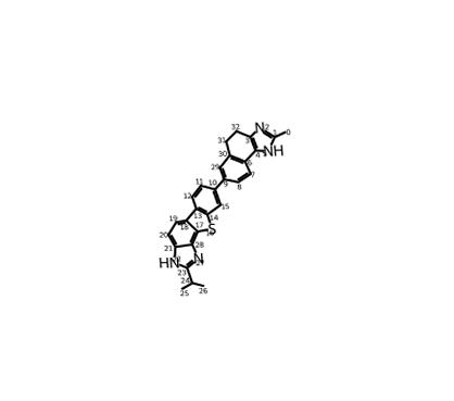 Cc1nc2c([nH]1)-c1ccc(-c3ccc4c(c3)sc3c4ccc4[nH]c(C(C)C)nc43)cc1CC2